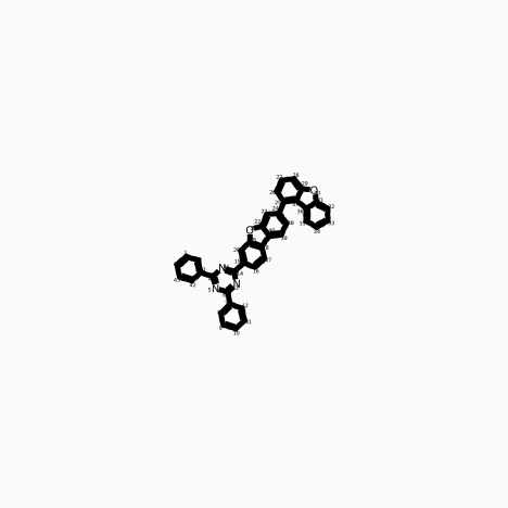 c1ccc(-c2nc(-c3ccccc3)nc(-c3ccc4c(c3)oc3cc(-c5cccc6oc7ccccc7c56)ccc34)n2)cc1